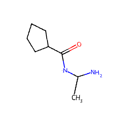 CC(N)[N]C(=O)C1CCCC1